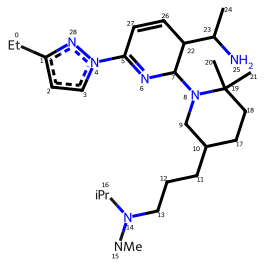 CCc1ccn(C2=NC(N3CC(CCCN(NC)C(C)C)CCC3(C)C)C(C(C)N)C=C2)n1